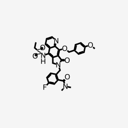 CCS(=O)(=O)Nc1c2c(c(OCc3ccc(OC)cc3)c3ncccc13)C(=O)N(Cc1ccc(F)cc1C(=O)N(C)C)C2